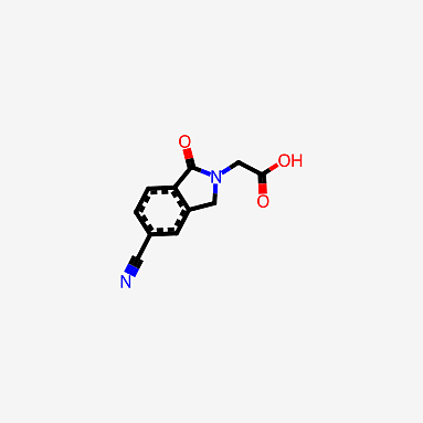 N#Cc1ccc2c(c1)CN(CC(=O)O)C2=O